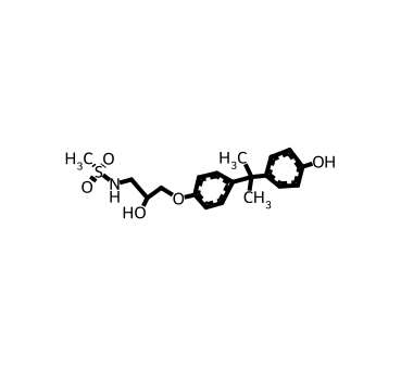 CC(C)(c1ccc(O)cc1)c1ccc(OCC(O)CNS(C)(=O)=O)cc1